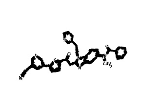 CN(C(=O)c1ccccc1)c1ccc2c(c1)nc(CC(=O)c1ccc(-c3cncc(C#N)c3)s1)n2CCc1cccnc1